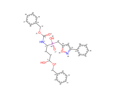 O=C(NC(CCC(O)OCc1ccccc1)P(=O)(O)Cc1cc(-c2ccccc2)no1)OCc1ccccc1